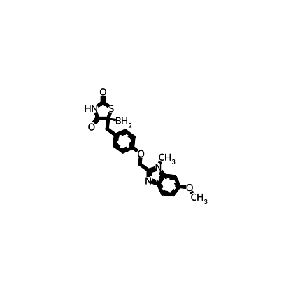 B[C@]1(Cc2ccc(OCc3nc4ccc(OC)cc4n3C)cc2)SC(=O)NC1=O